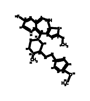 CCc1cc2c(s1)NC=c1cc(F)cnc1=C2N1CCN(C)C(CCc2ccc(OC)cc2)C1